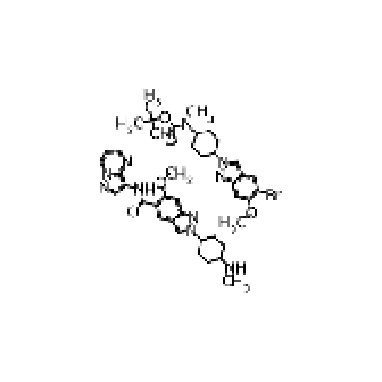 CNC1CCC(n2cc3cc(C(=O)Nc4cnn5cccnc45)c(OC)cc3n2)CC1.COc1cc2nn(C3CCC(N(C)C(=O)OC(C)(C)C)CC3)cc2cc1Br